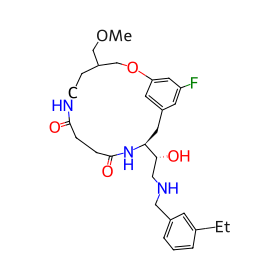 CCc1cccc(CNC[C@@H](O)[C@@H]2Cc3cc(F)cc(c3)OCC(COC)CCNC(=O)CCC(=O)N2)c1